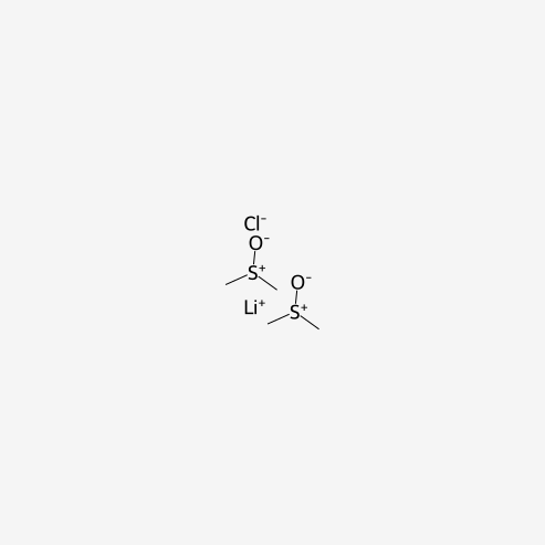 C[S+](C)[O-].C[S+](C)[O-].[Cl-].[Li+]